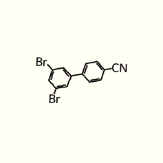 N#Cc1ccc(-c2cc(Br)cc(Br)c2)cc1